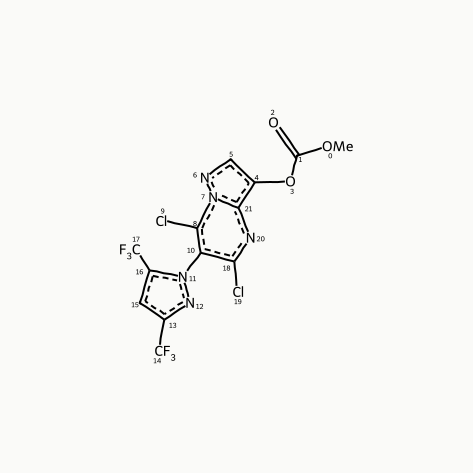 COC(=O)Oc1cnn2c(Cl)c(-n3nc(C(F)(F)F)cc3C(F)(F)F)c(Cl)nc12